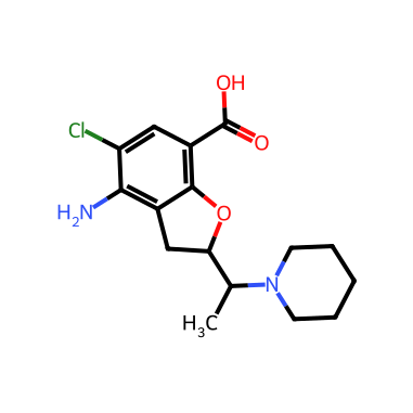 CC(C1Cc2c(N)c(Cl)cc(C(=O)O)c2O1)N1CCCCC1